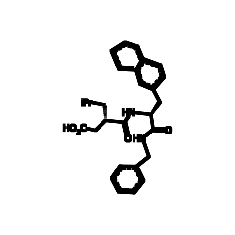 CC(C)C[C@@H](CC(=O)O)C(=O)N[C@@H](Cc1ccc2ccccc2c1)C(=O)NCc1ccccc1